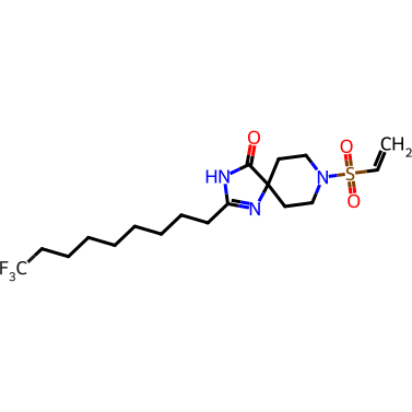 C=CS(=O)(=O)N1CCC2(CC1)N=C(CCCCCCCCC(F)(F)F)NC2=O